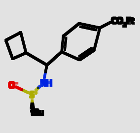 CCOC(=O)c1ccc(C(N[S@+]([O-])C(C)(C)C)C2CCC2)cc1